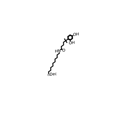 CCCCCCCCCCCCCCCCCCCCNC(=O)CCCC(C)(C)c1ccc(O)cc1O